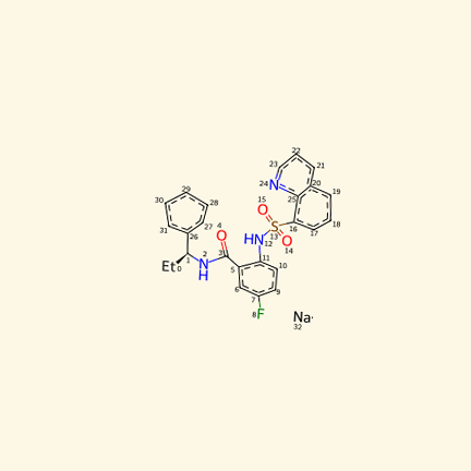 CC[C@H](NC(=O)c1cc(F)ccc1NS(=O)(=O)c1cccc2cccnc12)c1ccccc1.[Na]